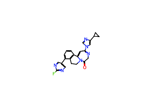 O=C1CN=C(n2cnc(C3CC3)c2)C=C2c3cccc(-c4cnc(F)nc4)c3CCN12